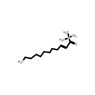 CCCCCCCCCC=CC(=O)[Si](C)(C)C